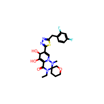 CCN1C(=O)C2=C(O)C(O)C(c3nnc(Cc4ccc(F)cc4F)s3)=CN2N(C)C12CCCOC2